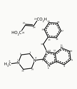 CN1CCN(c2nc3cccnc3n2Cc2ccccc2)CC1.O=C(O)C=CC(=O)O